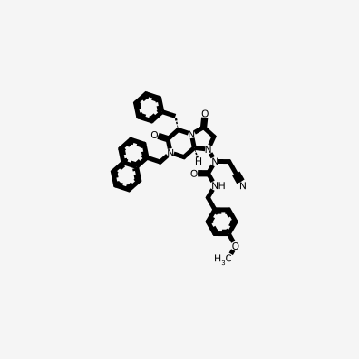 COc1ccc(CNC(=O)N(CC#N)N2CC(=O)N3[C@@H](Cc4ccccc4)C(=O)N(Cc4cccc5ccccc45)C[C@@H]32)cc1